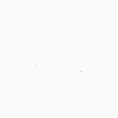 CCCCC(CC)COC(=O)OC(C)(C)C